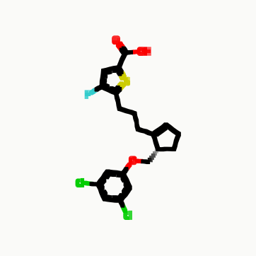 O=C(O)c1cc(F)c(CCCC2=CCC[C@@H]2COc2cc(Cl)cc(Cl)c2)s1